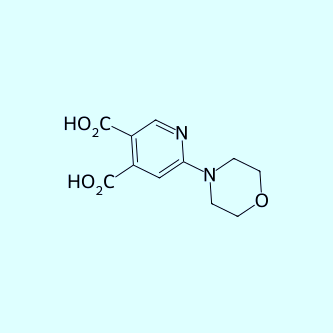 O=C(O)c1cnc(N2CCOCC2)cc1C(=O)O